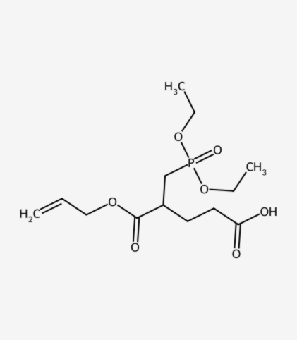 C=CCOC(=O)C(CCC(=O)O)CP(=O)(OCC)OCC